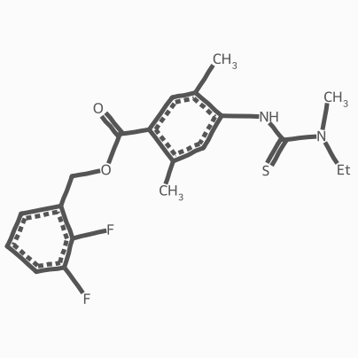 CCN(C)C(=S)Nc1cc(C)c(C(=O)OCc2cccc(F)c2F)cc1C